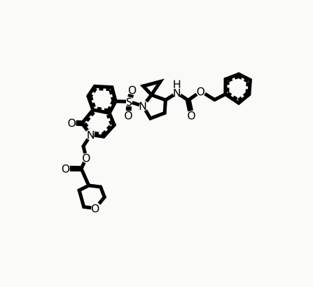 O=C(NC1CCN(S(=O)(=O)c2cccc3c(=O)n(COC(=O)C4CCOCC4)ccc23)C12CC2)OCc1ccccc1